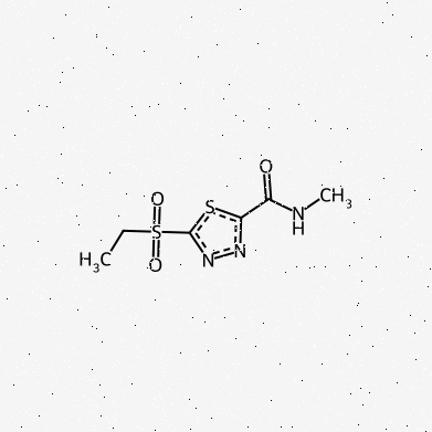 CCS(=O)(=O)c1nnc(C(=O)NC)s1